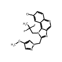 COc1cnn(Cc2nc3cnc4ccc(Cl)cc4c3n2CC(C)(F)F)c1